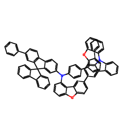 c1ccc(-c2ccc3c(c2)C2(c4ccccc4-c4ccccc42)c2cc(N(c4ccc(-c5cccc6c5oc5ccccc56)cc4)c4cccc5oc6ccc(-c7ccc8c(c7)c7ccccc7n8-c7ccccc7)cc6c45)ccc2-3)cc1